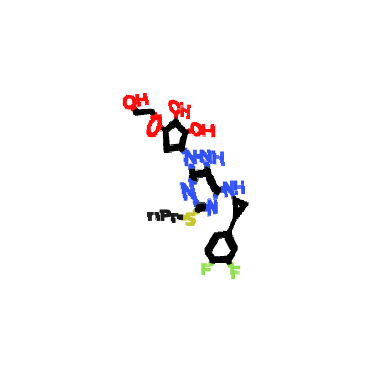 CCCSc1nc(N[C@@H]2C[C@H]2c2ccc(F)c(F)c2)c2[nH]n(C3C[C@H](OCCO)[C@@H](O)[C@H]3O)c2n1